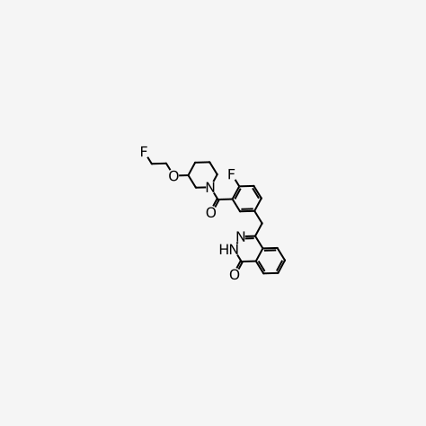 O=C(c1cc(Cc2n[nH]c(=O)c3ccccc23)ccc1F)N1CCCC(OCCF)C1